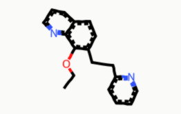 CCOc1c(CCc2ccccn2)ccc2cccnc12